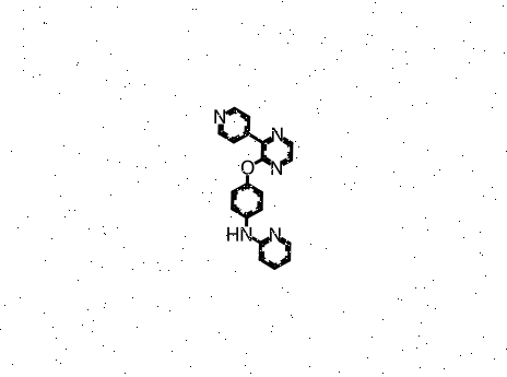 c1ccc(Nc2ccc(Oc3nccnc3-c3ccncc3)cc2)nc1